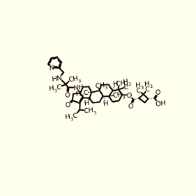 CC(C)C1=C2[C@H]3CC[C@@H]4[C@@]5(C)CC[C@H](OC(=O)[C@H]6C[C@@H](C(=O)O)C6(C)C)C(C)(C)[C@@H]5CC[C@@]4(C)[C@]3(C)CC[C@@]2(NC(=O)C(C)(C)NCc2ccccn2)CC1=O